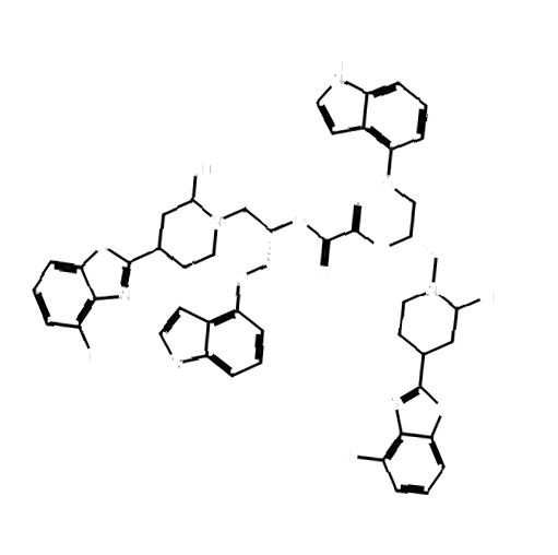 CC1CC(c2nc3c(F)cccc3s2)CCN1C[C@@H](COc1cccc2[nH]ccc12)OC(=O)C(=O)O[C@H](COc1cccc2[nH]ccc12)CN1CCC(c2nc3c(F)cccc3s2)CC1C